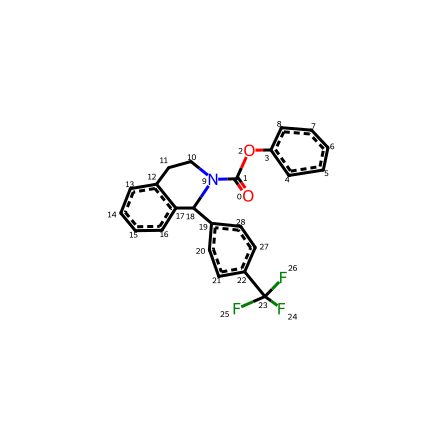 O=C(Oc1ccccc1)N1CCc2ccccc2C1c1ccc(C(F)(F)F)cc1